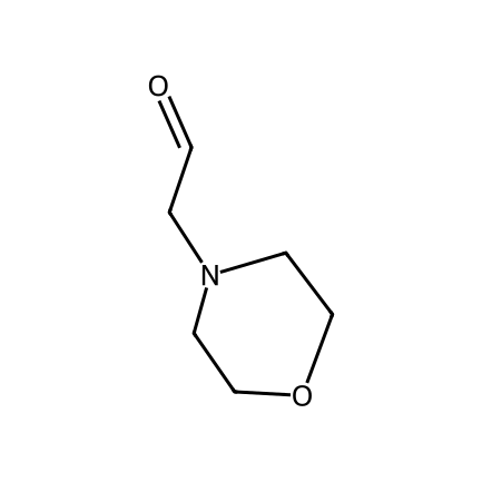 O=CCN1CCOCC1